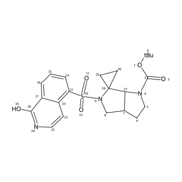 CC(C)(C)OC(=O)N1CCC2CN(S(=O)(=O)c3cccc4c(O)nccc34)C3(CC3)C21